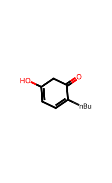 CC[CH]CC1=CC=C(O)CC1=O